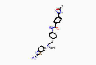 CCCN(CC[C@H]1CC[C@H](NC(=O)c2ccc(-c3noc(CC)n3)cc2)CC1)[C@H]1CCc2nc(N)sc2C1